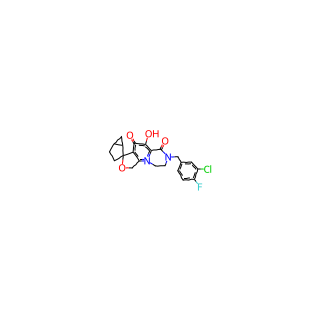 O=C1c2c(O)c(=O)c3c(n2CCN1Cc1ccc(F)c(Cl)c1)COC31CCC2CC21